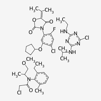 CC(C)=C1OC(=O)N(c2cc(OC3CCCC3)c(Cl)cc2F)C1=O.CCNc1nc(Cl)nc(NC(C)C)n1.CCc1cccc(C)c1N(C(=O)CCl)C(C)COC